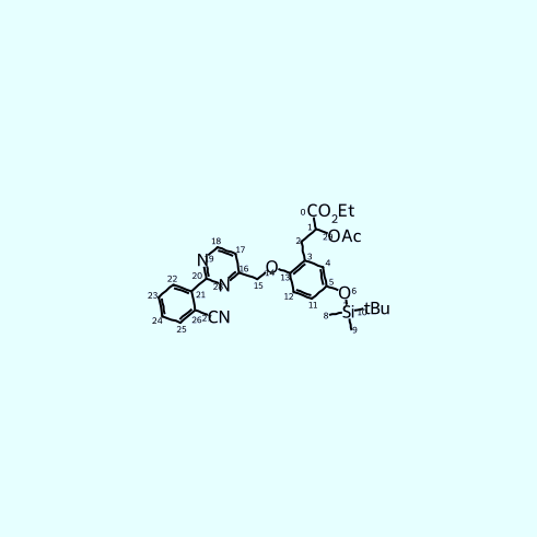 CCOC(=O)C(Cc1cc(O[Si](C)(C)C(C)(C)C)ccc1OCc1ccnc(-c2ccccc2C#N)n1)OC(C)=O